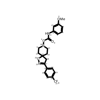 COc1cccc(NC(=O)ON2CCC3(CC2)CC(c2ccc(C(F)(F)F)cc2)=NO3)c1